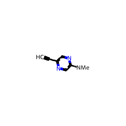 C#Cc1cnc(NC)cn1